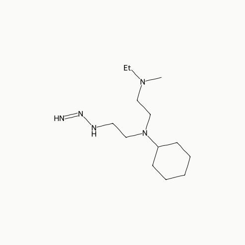 CCN(C)CCN(CCNN=N)C1CCCCC1